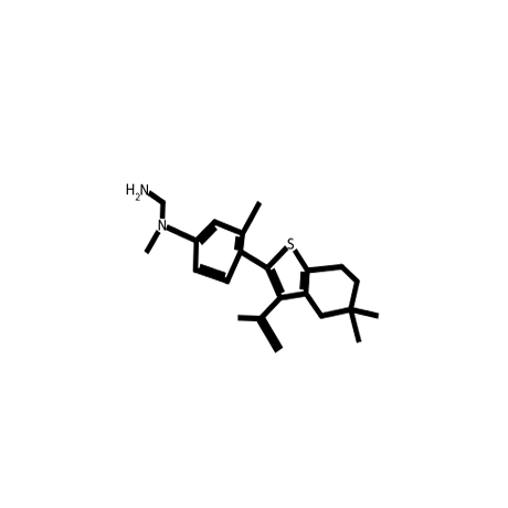 C=C(C)c1c(-c2ccc(N(C)CN)cc2C)sc2c1CC(C)(C)CC2